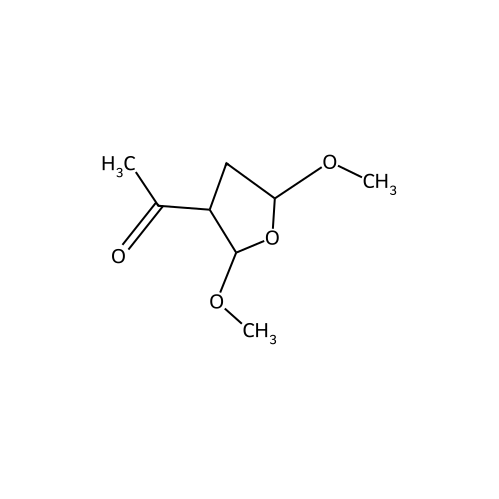 COC1CC(C(C)=O)C(OC)O1